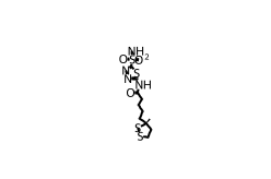 C[C@@]1(CCCCC(=O)Nc2nnc(S(N)(=O)=O)s2)CCSS1